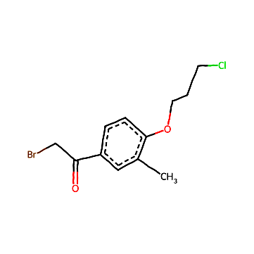 Cc1cc(C(=O)CBr)ccc1OCCCCl